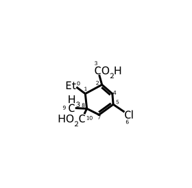 CCC1C(C(=O)O)=CC(Cl)=CC1(C)C(=O)O